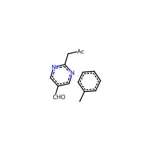 CC(=O)Cc1ncc(C=O)cn1.Cc1ccccc1